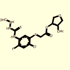 CC(=O)OC1COCC1OC(=O)CSc1cc(NC(=S)NNC=O)c(F)cc1Cl